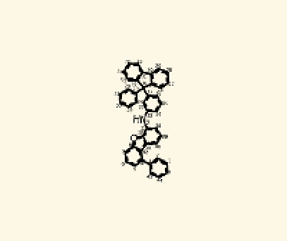 c1ccc(-c2cccc3oc4c(Nc5cccc(C6(c7ccccc7)c7ccccc7-c7ccccc76)c5)cccc4c23)cc1